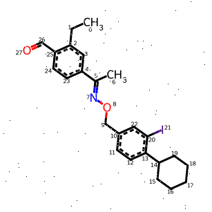 CCc1cc(/C(C)=N/OCc2ccc(C3CCCCC3)c(I)c2)ccc1C=O